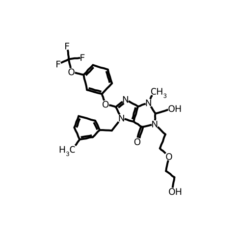 Cc1cccc(Cn2c(Oc3cccc(OC(F)(F)F)c3)nc3c2C(=O)N(CCOCCO)C(O)N3C)c1